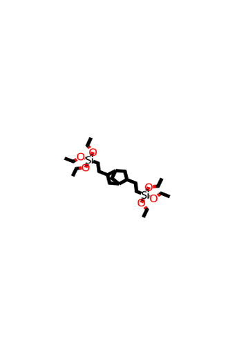 CCO[Si](CCC1CC2CC1CC2CC[Si](OCC)(OCC)OCC)(OCC)OCC